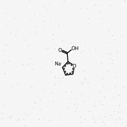 O=C(O)c1ccco1.[Na]